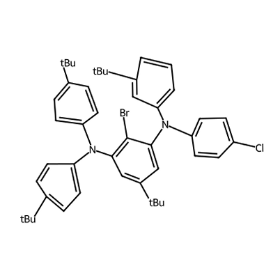 CC(C)(C)c1ccc(N(c2ccc(C(C)(C)C)cc2)c2cc(C(C)(C)C)cc(N(c3ccc(Cl)cc3)c3cccc(C(C)(C)C)c3)c2Br)cc1